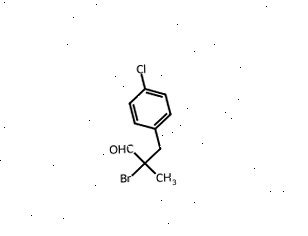 CC(Br)(C=O)Cc1ccc(Cl)cc1